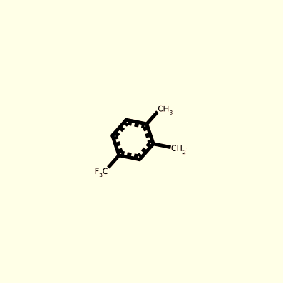 [CH2]c1cc(C(F)(F)F)ccc1C